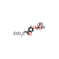 CCOC(=O)Cc1coc2cc(OCC(OCC)OCC)ccc12